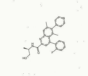 Cc1cc2nc(C(=O)N[C@H](C)CO)cc(-c3ccccc3F)c2c(C)c1-c1ccncc1